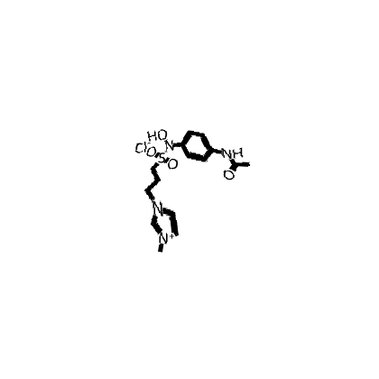 CC(=O)Nc1ccc(N(O)S(=O)(=O)CCCn2cc[n+](C)c2)cc1.[Cl-]